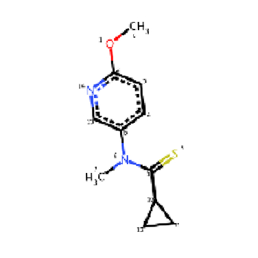 COc1ccc(N(C)C(=S)C2CC2)cn1